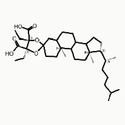 CC[C@@]1(C(=O)O)OC2(CC[C@@]3(C)C(CCC4C3CC[C@@]3(C)C4CC[C@@H]3[C@H](C)CCCC(C)C)C2)O[C@@]1(CC)C(=O)O